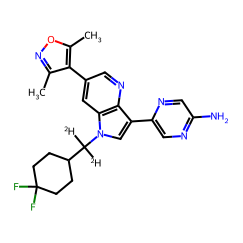 [2H]C([2H])(C1CCC(F)(F)CC1)n1cc(-c2cnc(N)cn2)c2ncc(-c3c(C)noc3C)cc21